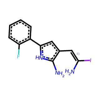 N/C(I)=C\c1cc(-c2ccccc2F)[nH]c1N